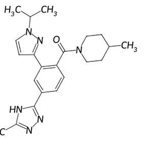 Cc1nnc(-c2ccc(C(=O)N3CCC(C)CC3)c(-c3ccn(C(C)C)n3)c2)[nH]1